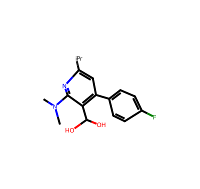 CC(C)c1cc(-c2ccc(F)cc2)c(C(O)O)c(N(C)C)n1